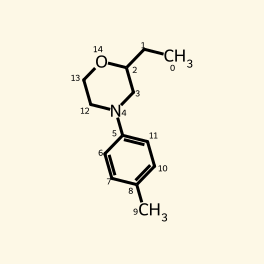 CCC1CN(c2ccc(C)cc2)CCO1